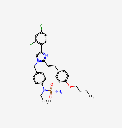 NS(=O)(=O)N(CC(=O)O)c1ccc(Cn2cc(-c3ccc(Cl)cc3Cl)nc2/C=C/c2ccc(OCCCC(F)(F)F)cc2)cc1